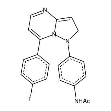 CC(=O)Nc1ccc(N2CC=C3N=CC=C(c4ccc(F)cc4)N32)cc1